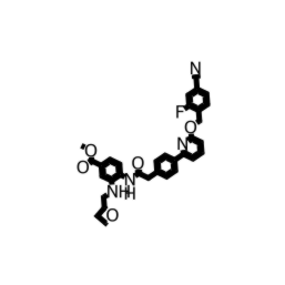 COC(=O)c1ccc(NC(=O)Cc2ccc(-c3cccc(OCc4ccc(C#N)cc4F)n3)cc2)c(NCC2CCO2)c1